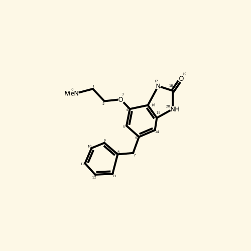 CNCCOc1cc(Cc2ccccc2)cc2c1[N]C(=O)N2